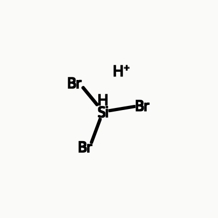 Br[SiH](Br)Br.[H+]